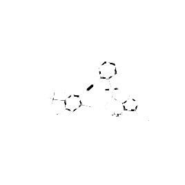 COCN(c1noc(C)c1Cl)S(=O)(=O)c1cccnc1C#Cc1cc2c(cc1C)COC2(C)C